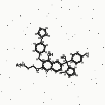 CC(=O)NCCOc1nc2ccc(C(O)(c3ccc(Cl)cc3)c3cncn3C)cc2c(O)c1Cc1ccc(-n2cccn2)cc1